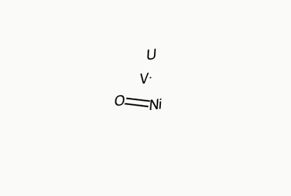 [O]=[Ni].[U].[V]